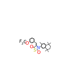 Cc1cc2c(cc1N1C(=O)SC(=O)C1=Cc1cccc(OC(F)(F)F)c1)C(C)(C)CCC2(C)C